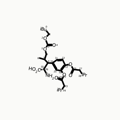 CCC(C)COC(=O)OCC(C)C(c1ccc(OC(=O)CC(C)C)c(OC(=O)CC(C)C)c1)[C@H](N)C(=O)O